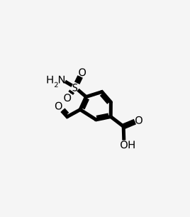 NS(=O)(=O)c1ccc(C(=O)O)cc1C=O